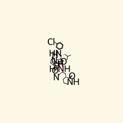 CC(C)C[C@@H](Nc1cccc(Cl)c1)C(=O)N1[C@@H]2CC[C@H]([C@H]1C(=O)N[C@H](C#N)C[C@@H]1CCCNC1=O)C(F)(F)C2